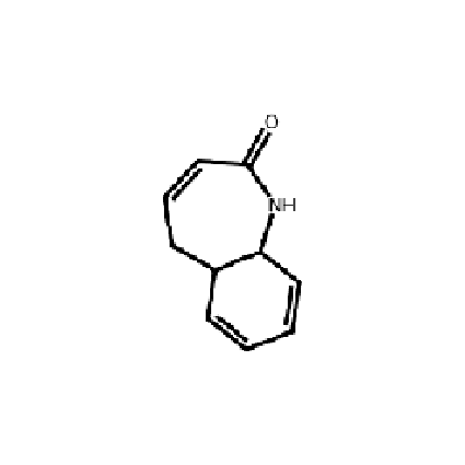 O=C1C=CCC2C=CC=CC2N1